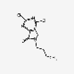 CCCCN1Cc2c(Cl)nc(Cl)nc2C1=O